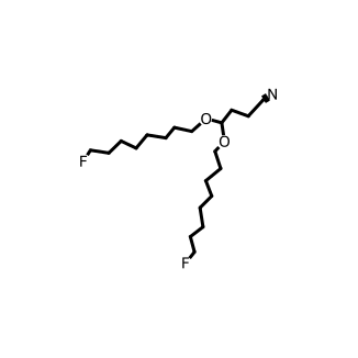 N#CCCC(OCCCCCCCCF)OCCCCCCCCF